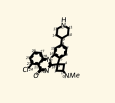 CNC1CC2(C1)c1ccc(C3CCNCC3)cc1-n1c2nc(=O)c2c(Cl)cccc21